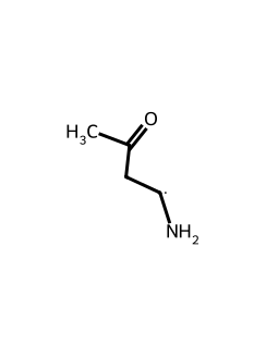 CC(=O)C[CH]N